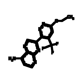 CCOc1cc(C(F)(F)F)c(-c2cnc3c(N)ccnc3n2)nn1